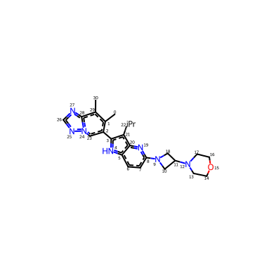 Cc1c(-c2[nH]c3ccc(N4CC(N5CCOCC5)C4)nc3c2C(C)C)cn2ncnc2c1C